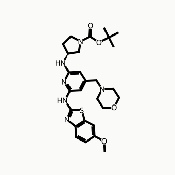 COc1ccc2nc(Nc3cc(CN4CCOCC4)cc(N[C@H]4CCN(C(=O)OC(C)(C)C)C4)n3)sc2c1